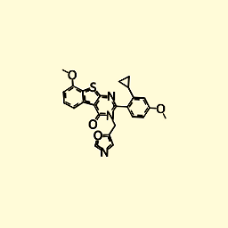 COc1ccc(-c2nc3sc4c(OC)cccc4c3c(=O)n2Cc2cnco2)c(C2CC2)c1